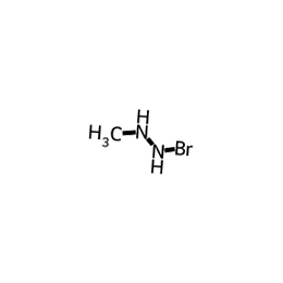 CNNBr